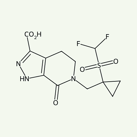 O=C(O)c1n[nH]c2c1CCN(CC1(S(=O)(=O)C(F)F)CC1)C2=O